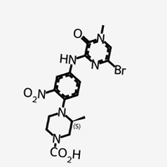 C[C@H]1CN(C(=O)O)CCN1c1ccc(Nc2nc(Br)cn(C)c2=O)cc1[N+](=O)[O-]